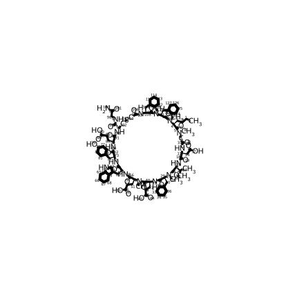 CCCC[C@H]1C(=O)N(C)CC(=O)N[C@@H](CC(=O)O)C(=O)N[C@@H](C(C)C)C(=O)N(C)[C@@H](Cc2ccccc2)C(=O)N[C@@H](CCC(=O)O)C(=O)N(C)[C@@H](CCC(=O)O)C(=O)N[C@@H](Cc2c[nH]c3ccccc23)C(=O)N[C@@H](Cc2ccc(O)cc2)C(=O)N[C@@H](CCC(=O)O)C(=O)N[C@H](C(=O)NCC(N)=O)CSCC(=O)N[C@@H](Cc2ccccc2)C(=O)N(C)[C@@H](Cc2ccccc2)C(=O)N1C